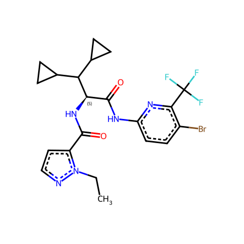 CCn1nccc1C(=O)N[C@H](C(=O)Nc1ccc(Br)c(C(F)(F)F)n1)C(C1CC1)C1CC1